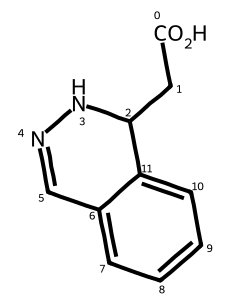 O=C(O)CC1NN=Cc2ccccc21